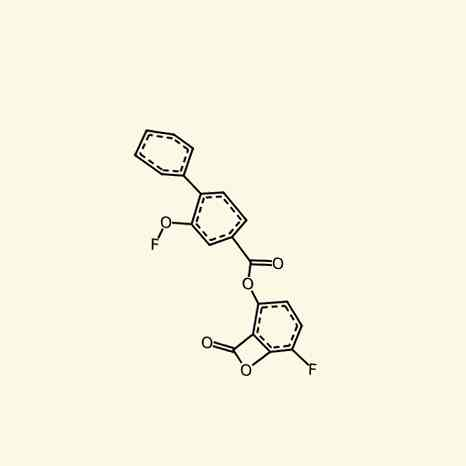 O=C(Oc1ccc(F)c2c1C(=O)O2)c1ccc(-c2ccccc2)c(OF)c1